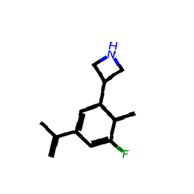 C=C(C)C1=CC(C2CNC2)C(C)C(F)=C1